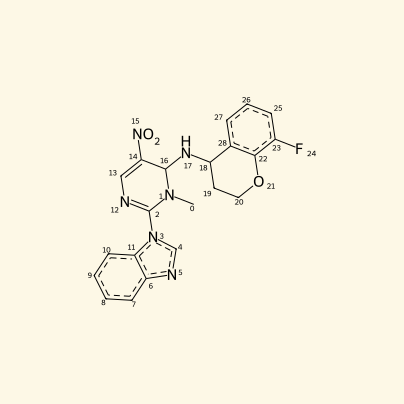 CN1C(n2cnc3ccccc32)=NC=C([N+](=O)[O-])C1NC1CCOc2c(F)cccc21